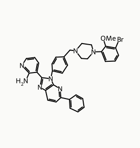 COc1c(Br)cccc1N1CCN(Cc2ccc(-n3c(-c4cccnc4N)nc4ccc(-c5ccccc5)nc43)cc2)CC1